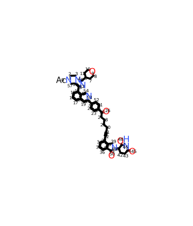 CC(=O)N1CCn2c(C3CCOCC3)nc(-c3cccc4cc(-c5ccc(C(=O)CCCCC#Cc6cccc7c6CN(C6CCC(=O)NC6=O)C7=O)cc5)ncc34)c2C1